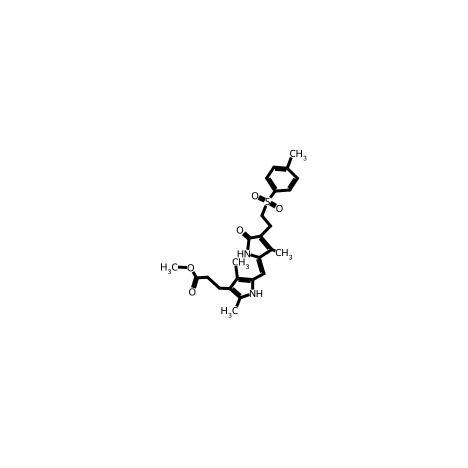 COC(=O)CCc1c(C)[nH]c(/C=C2\NC(=O)C(CCS(=O)(=O)c3ccc(C)cc3)=C2C)c1C